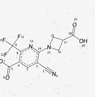 N#Cc1cc(C(=O)O)c(C(F)(F)F)nc1N1CC(C(=O)O)C1